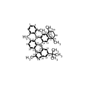 Cc1cccc(C)c1B1c2cc3c(cc2B2c4c1cccc4-n1c(C)nc4cc(C(C)(C)C)cc2c41)C1(C)CCC3(C)CC1